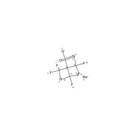 O=S(=O)([O-])C(C(F)(F)F)(C(F)(F)F)C(F)(F)F.[Na+]